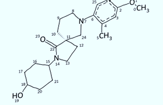 COc1cc(C)c(N2CCC[C@@]3(CCN(C4CCC(O)CC4)C3=O)C2)cn1